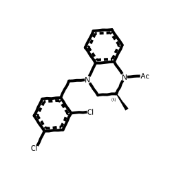 CC(=O)N1c2ccccc2N(Cc2ccc(Cl)cc2Cl)C[C@@H]1C